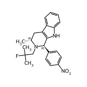 C[C@@H]1Cc2c([nH]c3ccccc23)[C@@H](c2ccc([N+](=O)[O-])cc2)N1CC(C)(C)F